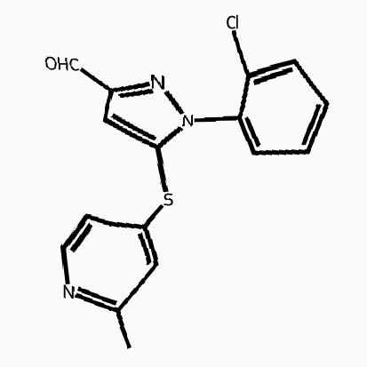 Cc1cc(Sc2cc(C=O)nn2-c2ccccc2Cl)ccn1